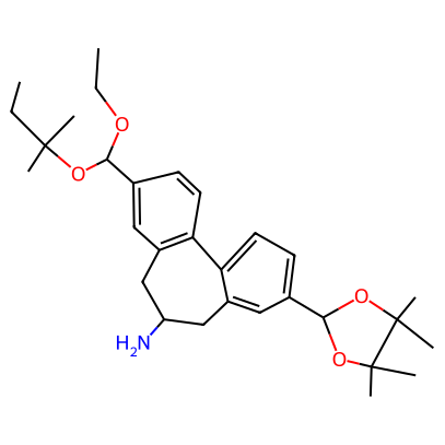 CCOC(OC(C)(C)CC)c1ccc2c(c1)CC(N)Cc1cc(C3OC(C)(C)C(C)(C)O3)ccc1-2